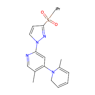 CC1=CC=CCN1c1cc(-n2ccc(S(=O)(=O)C(C)C)n2)ncc1C